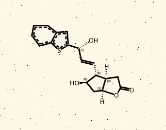 O=C1C[C@@H]2[C@@H](C=C[C@@H](O)c3cc4ccccc4s3)[C@H](O)C[C@@H]2O1